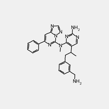 CC(Cc1cccc(CN)c1)c1cnc(N)nc1N(C)c1nc(-c2ccccc2)cc2ncnn12